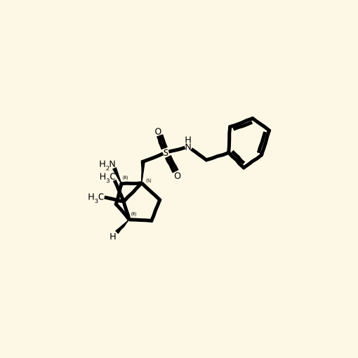 CC1(C)[C@@H]2CC[C@@]1(CS(=O)(=O)NCc1ccccc1)[C@H](N)C2